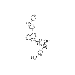 Cc1ccc(-n2ncc(C(C)(C)C)c2NC(=O)Nc2ccc(-c3ccc(NC4CCOCC4)nc3)c3ccccc23)cn1